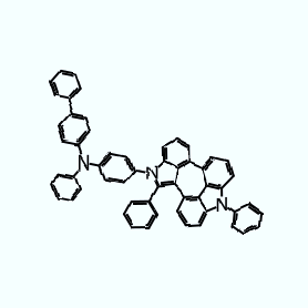 c1ccc(-c2ccc(N(c3ccccc3)c3ccc(-n4c(-c5ccccc5)c5c6c(cccc64)-c4cccc6c4c4c-5cccc4n6-c4ccccc4)cc3)cc2)cc1